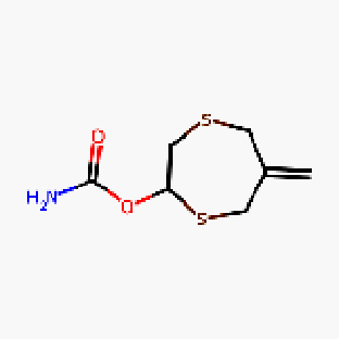 C=C1CSCC(OC(N)=O)SC1